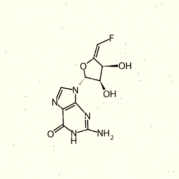 Nc1nc2c(ncn2[C@@H]2O/C(=C/F)[C@@H](O)[C@H]2O)c(=O)[nH]1